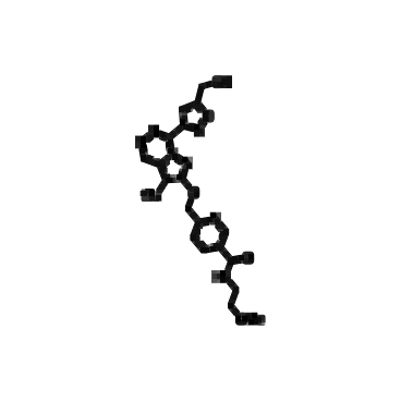 COCCNC(=O)c1ccc(COc2nn3c(-c4cc(CO)on4)nncc3c2C(C)(C)C)nc1